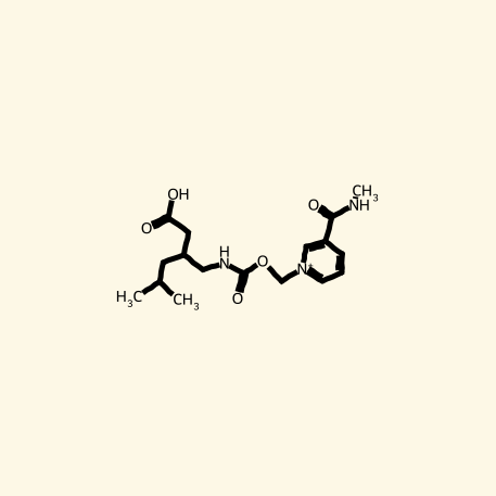 CNC(=O)c1ccc[n+](COC(=O)NCC(CC(=O)O)CC(C)C)c1